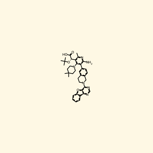 Cc1nc(N)c(-c2ccc3c(c2)CCN(c2ncnc4c2oc2ccccc24)C3)c(N2CCC(C)(C)CC2)c1[C@H](OC(C)(C)C)C(=O)O